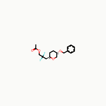 CC(=O)OCC(F)(F)C[C@H]1CC[C@H](OCc2ccccc2)CO1